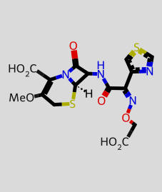 COC1=C(C(=O)O)N2C(=O)C(NC(=O)/C(=N\OCC(=O)O)c3cscn3)[C@H]2SC1